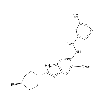 COc1cc2nc([C@H]3CC[C@H](C(C)C)CC3)[nH]c2cc1NC(=O)c1cccc(C(F)(F)F)n1